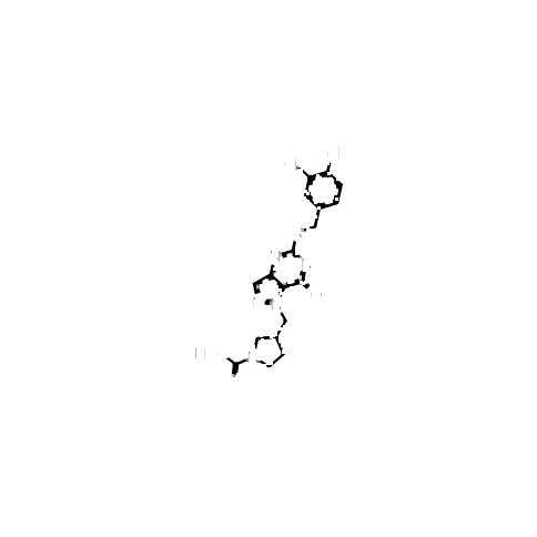 CC(=O)N1CCC(Cn2ncc3nc(NCc4ccc(Cl)c(Cl)c4)[nH]c(=O)c32)C1